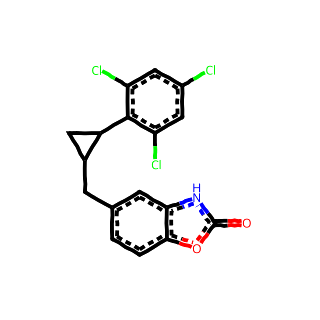 O=c1[nH]c2cc(CC3CC3c3c(Cl)cc(Cl)cc3Cl)ccc2o1